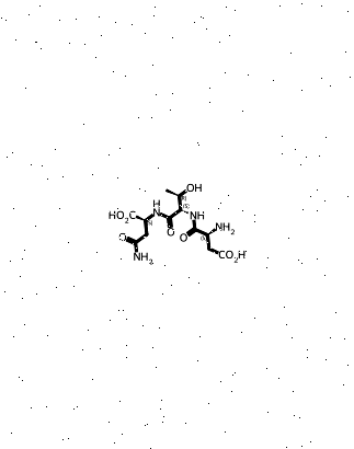 C[C@@H](O)[C@H](NC(=O)[C@@H](N)CC(=O)O)C(=O)N[C@@H](CC(N)=O)C(=O)O